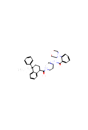 O=C(NC1CCN(C(=O)C2CCC(C(=O)O)(c3ccccc3)c3ccccc32)CC1)c1ccccc1N1CCOCC1